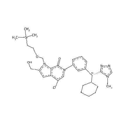 Cn1cnnc1[C@@H](c1cccc(-n2cc(Cl)c3cc(CO)n(COCC[Si](C)(C)C)c3c2=O)c1)C1CCCCC1